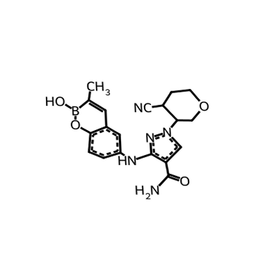 CC1=Cc2cc(Nc3nn(C4COCCC4C#N)cc3C(N)=O)ccc2OB1O